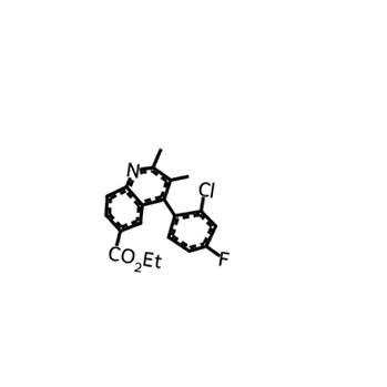 CCOC(=O)c1ccc2nc(C)c(C)c(-c3ccc(F)cc3Cl)c2c1